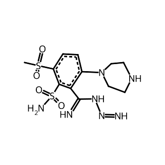 CS(=O)(=O)c1ccc(N2CCNCC2)c(C(=N)NN=N)c1S(N)(=O)=O